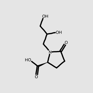 O=C(O)[C@@H]1CCC(=O)N1CC(O)CO